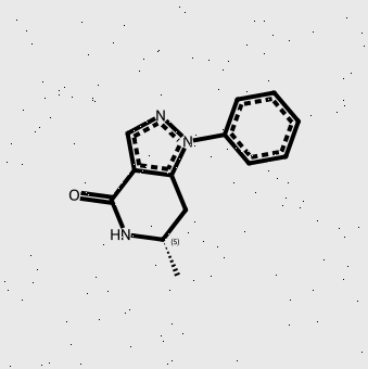 C[C@H]1Cc2c(cnn2-c2ccccc2)C(=O)N1